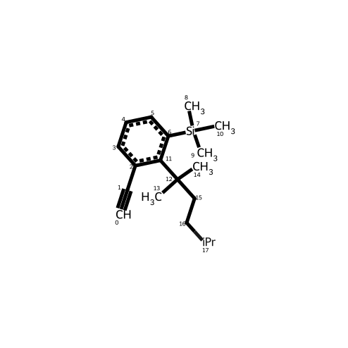 C#Cc1cccc([Si](C)(C)C)c1C(C)(C)CCC(C)C